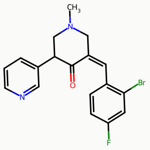 CN1CC(=Cc2ccc(F)cc2Br)C(=O)C(c2cccnc2)C1